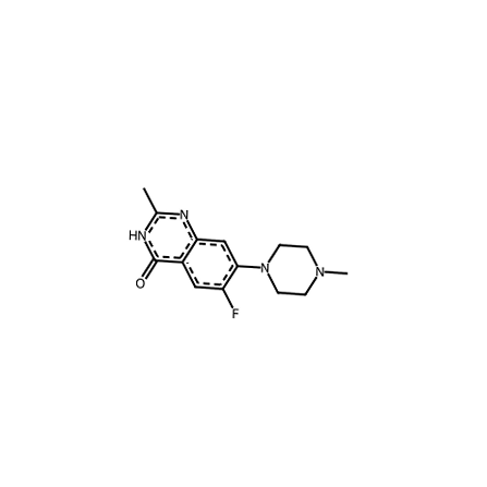 Cc1nc2cc(N3CCN(C)CC3)c(F)cc2c(=O)[nH]1